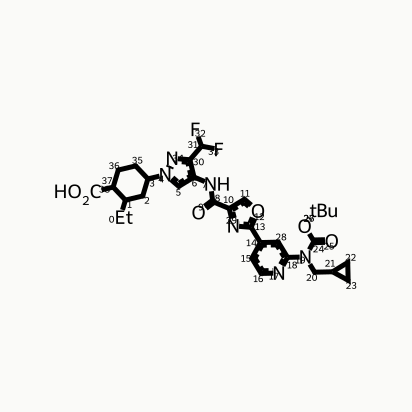 CCC1CC(n2cc(NC(=O)c3coc(-c4ccnc(N(CC5CC5)C(=O)OC(C)(C)C)c4)n3)c(C(F)F)n2)CCC1C(=O)O